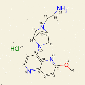 COc1ccc2nccc(N3CC4CC3CN4CCN)c2n1.Cl